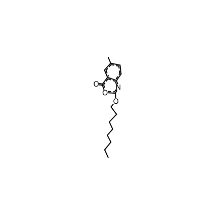 CCCCCCCCOc1nc2ccc(C)cc2c(=O)o1